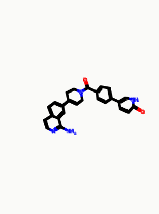 Nc1nccc2ccc(C3=CCN(C(=O)c4ccc(-c5ccc(=O)[nH]c5)cc4)CC3)cc12